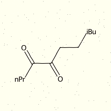 CCCC(=O)C(=O)CCC(C)CC